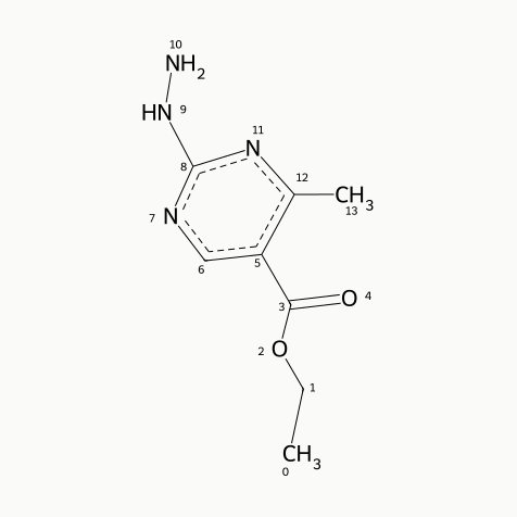 CCOC(=O)c1cnc(NN)nc1C